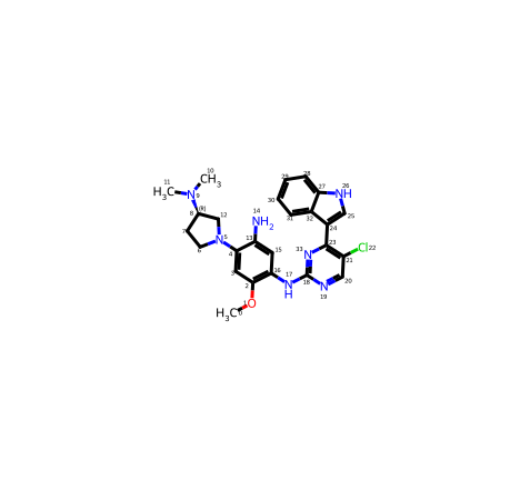 COc1cc(N2CC[C@@H](N(C)C)C2)c(N)cc1Nc1ncc(Cl)c(-c2c[nH]c3ccccc23)n1